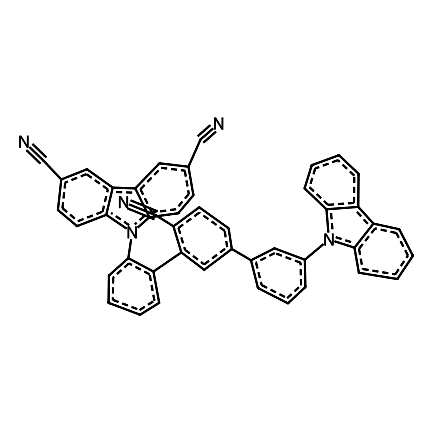 N#Cc1ccc2c(c1)c1cc(C#N)ccc1n2-c1ccccc1-c1cc(-c2cccc(-n3c4ccccc4c4ccccc43)c2)ccc1C#N